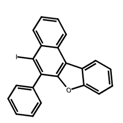 Ic1c(-c2ccccc2)c2oc3ccccc3c2c2ccccc12